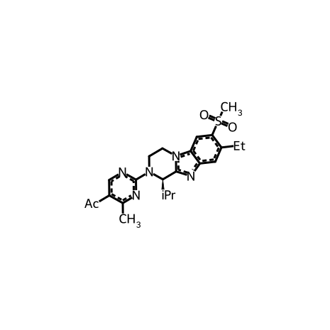 CCc1cc2nc3n(c2cc1S(C)(=O)=O)CCN(c1ncc(C(C)=O)c(C)n1)[C@@H]3C(C)C